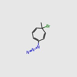 CC1(Br)C=CC=C(N=[N+]=[N-])C=C1